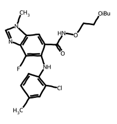 Cc1ccc(Nc2c(C(=O)NOCCOCC(C)C)cc3c(ncn3C)c2F)c(Cl)c1